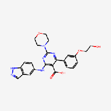 O=C(O)c1c(Nc2ccc3[nH]ncc3c2)nc(N2CCOCC2)nc1-c1cccc(OCCO)c1